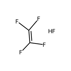 F.FC(F)=C(F)F